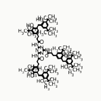 CC(C)(C)c1cc(Cc2cc(CCC(=O)Nc3nc(NC(=O)CCc4cc(Cc5cc(C(C)(C)C)cc(C(C)(C)C)c5O)c(O)c(C(C)(C)C)c4)nc(NC(=O)CCc4cc(Cc5cc(C(C)(C)C)cc(C(C)(C)C)c5O)c(O)c(C(C)(C)C)c4)n3)cc(C(C)(C)C)c2O)c(O)c(C(C)(C)C)c1